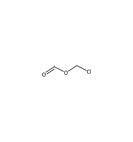 O=[C]OCCl